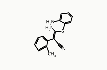 Cc1ccccc1/C(C#N)=C(\N)Sc1ccccc1N